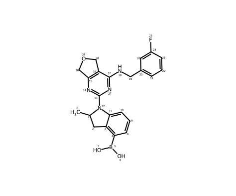 CC1Cc2c(B(O)O)cccc2N1c1nc2c(c(NCc3cccc(F)c3)n1)COC2